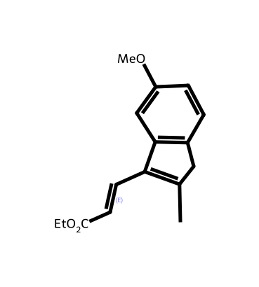 CCOC(=O)/C=C/C1=C(C)Cc2ccc(OC)cc21